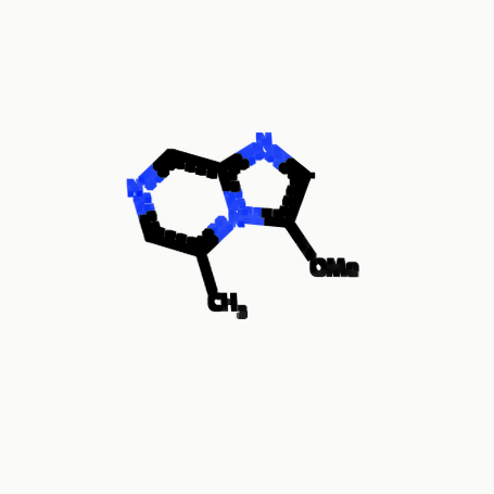 COc1[c]nc2cncc(C)n12